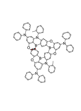 Cc1ccccc1N1c2cc3c(cc2B2c4ccccc4Oc4cc(N(c5ccccc5)c5ccccc5)cc1c42)B1c2cc4c(cc2Oc2cc(N(c5ccccc5)c5ccccc5)cc(c21)O3)N(c1ccccc1C)c1cc(N(c2ccccc2)c2ccccc2)cc2c1B4c1ccccc1O2